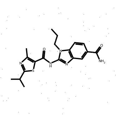 CCCn1c(NC(=O)c2sc(C(C)C)nc2C)nc2cc(C(N)=O)ccc21